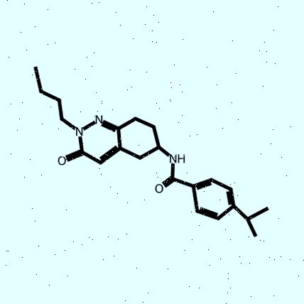 CCCCn1nc2c(cc1=O)CC(NC(=O)c1ccc(C(C)C)cc1)CC2